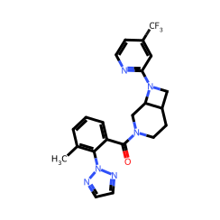 Cc1cccc(C(=O)N2CCC3CN(c4cc(C(F)(F)F)ccn4)C3C2)c1-n1nccn1